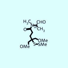 COCC(CCC(=O)N(C)[C@H](C)C=O)(COC)SSC